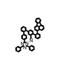 N#Cc1cc(-c2ccccc2-c2ccc(-c3nc(-c4ccccc4)nc(-c4ccccc4)n3)cc2)ccc1-c1ccccc1-c1ccc2c3c(cccc13)-c1ccccc1-2